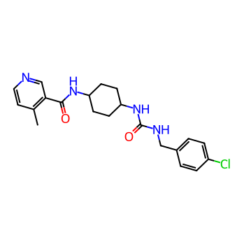 Cc1ccncc1C(=O)NC1CCC(NC(=O)NCc2ccc(Cl)cc2)CC1